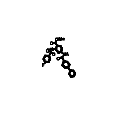 COC(=O)c1ccc(NC(=O)c2ccc(-c3ccccc3)cc2)cc1NS(=O)(=O)c1ccc(F)cc1